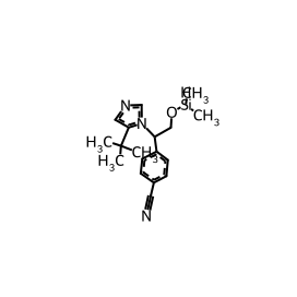 C[SiH](C)OCC(c1ccc(C#N)cc1)n1cncc1C(C)(C)C